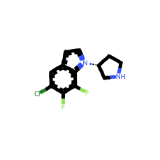 Fc1c(Cl)cc2ccn([C@@H]3CCNC3)c2c1F